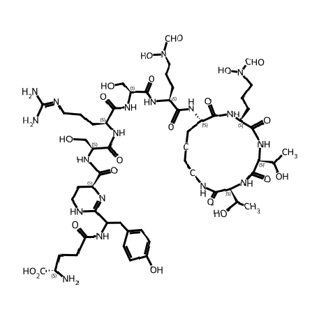 CC(O)[C@@H]1NC(=O)[C@H](CCCN(O)C=O)NC(=O)[C@@H](NC(=O)[C@H](CCCN(O)C=O)NC(=O)[C@H](CO)NC(=O)[C@H](CCCN=C(N)N)NC(=O)[C@H](CO)NC(=O)[C@@H]2CCNC(C(Cc3ccc(O)cc3)NC(=O)CC[C@H](N)C(=O)O)=N2)CCCCNC(=O)[C@H](C(C)O)NC1=O